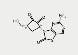 Nc1ncc2sc(=O)n([C@@H]3C[C@H](CO)C(=O)C3=O)c2n1